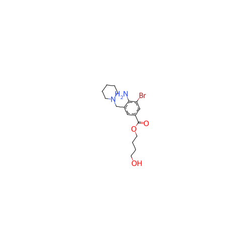 Nc1c(Br)cc(C(=O)OCCCCO)cc1CN1CCCCC1